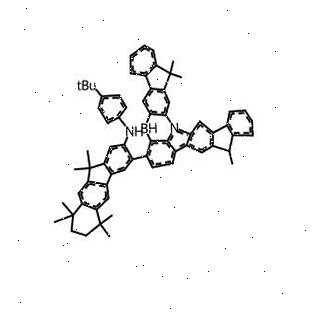 CC1c2ccccc2-c2cc3c(cc21)c1ccc(-c2cc4c(cc2Nc2ccc(C(C)(C)C)cc2)C(C)(C)c2cc5c(cc2-4)C(C)(C)CCC5(C)C)c2c1n3-c1cc3c(cc1B2)-c1ccccc1C3(C)C